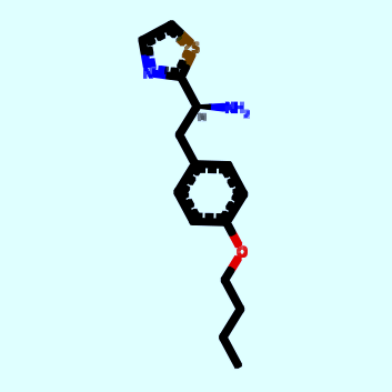 CCCCOc1ccc(C[C@H](N)c2nccs2)cc1